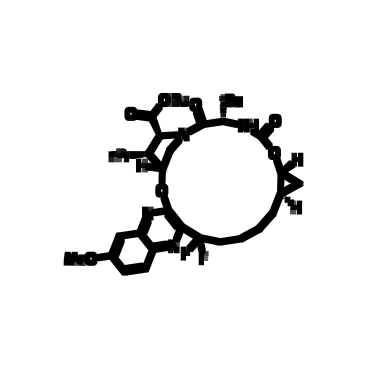 CCC[C@@H]1[C@@H]2CN(C(=O)[C@H](C(C)(C)C)NC(=O)O[C@@H]3C[C@H]3CCCCC(F)(F)c3nc4ccc(OC)cc4nc3O2)[C@@H]1C(=O)OCC(C)C